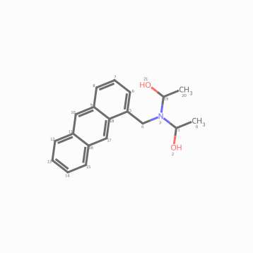 CC(O)N(Cc1cccc2cc3ccccc3cc12)C(C)O